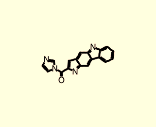 O=C(C1=Cc2cc3c(cc2=N1)-c1ccccc1N=3)n1ccnc1